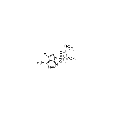 C[C@@H](O)[C@H]1O[C@@H](n2cc(F)c3c(N)ncnc32)[C@](C)(O)[C@@H]1O